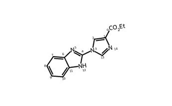 CCOC(=O)c1cn(-c2nc3ccccc3[nH]2)cn1